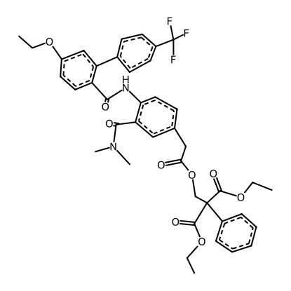 CCOC(=O)C(COC(=O)Cc1ccc(NC(=O)c2ccc(OCC)cc2-c2ccc(C(F)(F)F)cc2)c(C(=O)N(C)C)c1)(C(=O)OCC)c1ccccc1